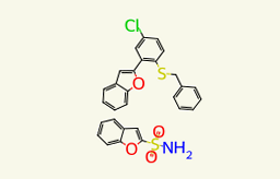 Clc1ccc(SCc2ccccc2)c(-c2cc3ccccc3o2)c1.NS(=O)(=O)c1cc2ccccc2o1